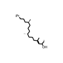 C/C(=C\C(O)I)CCC[C@H](C)CCC[C@H](C)CCCC(C)C